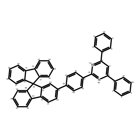 c1ccc(-c2cc(-c3ccccc3)nc(-c3ccc(-c4ccc5c(c4)C4(c6ccccc6-c6ccccc64)c4ccccc4-5)cc3)n2)cc1